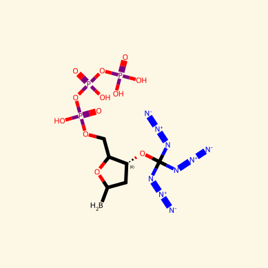 BC1C[C@@H](OC(N=[N+]=[N-])(N=[N+]=[N-])N=[N+]=[N-])C(COP(=O)(O)OP(=O)(O)OP(=O)(O)O)O1